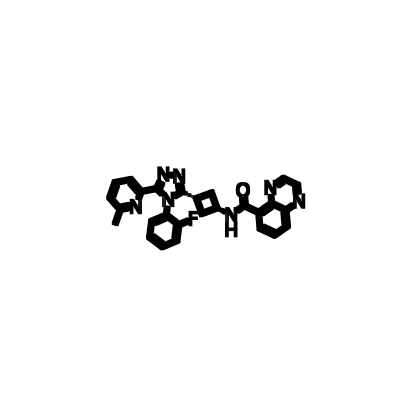 Cc1cccc(-c2nnc([C@H]3C[C@H](NC(=O)c4cccc5nccnc45)C3)n2-c2ccccc2F)n1